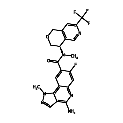 CN(C(=O)c1cc2c(cc1F)nc(N)c1cnn(C)c12)[C@H]1COCc2cc(C(F)(F)F)ncc21